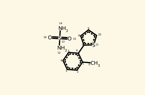 Cc1ccccc1-c1cccs1.NS(N)(=O)=O